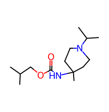 CC(C)COC(=O)NC1(C)CCN(C(C)C)CC1